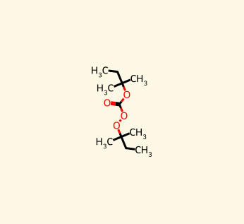 CCC(C)(C)OOC(=O)OC(C)(C)CC